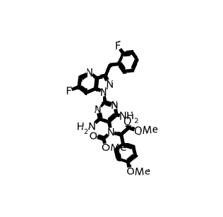 COC(=O)C(c1ccc(OC)cc1)N(C(=O)OC)c1c(N)nc(-n2nc(Cc3ccccc3F)c3ncc(F)cc32)nc1N